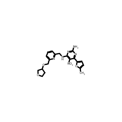 Cc1ccc(-c2nc(N)nc(NCc3cccc(COC4CCOC4)n3)c2[N+](=O)[O-])o1